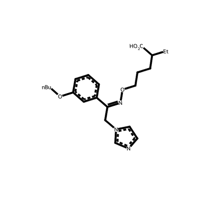 CCCCOc1cccc(/C(Cn2ccnc2)=N\OCCCC(CC)C(=O)O)c1